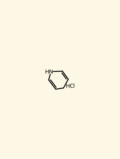 C1=CNC=CC1.Cl